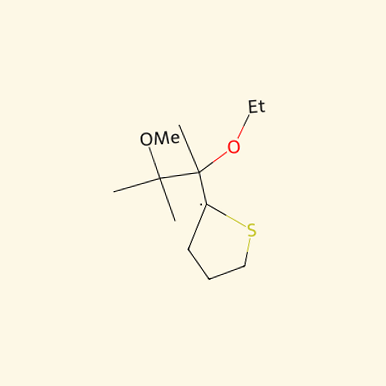 CCOC(C)([C]1CCCS1)C(C)(C)OC